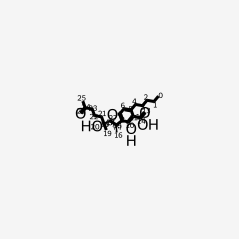 CCCCCc1cc2c(c(O)c1C(=O)O)[C@@H](C)[C@@H](C(C)(O)CCCC(C)=O)O2